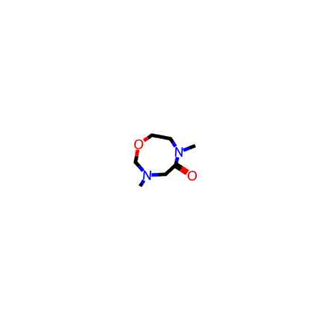 CN1COCCN(C)C(=O)C1